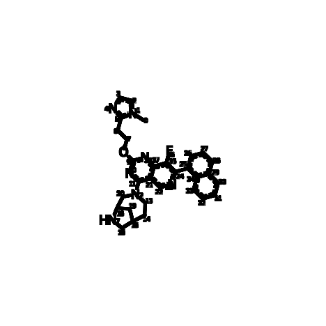 Cn1ccnc1CCOc1nc(N2CCC3CNC(C3)C2)c2cnc(-c3cccc4ccccc34)c(F)c2n1